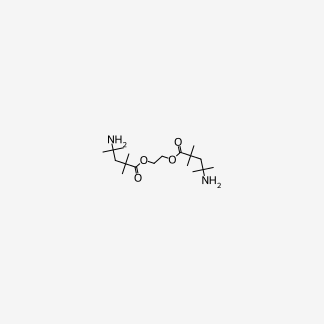 CC(C)(N)CC(C)(C)C(=O)OCCOC(=O)C(C)(C)CC(C)(C)N